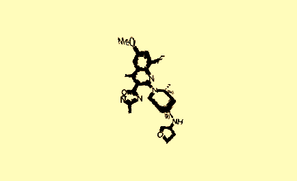 COc1cc(F)c2nc(N3CC[C@@H](NC4CCOC4)C[C@H]3C)c(-c3nc(C)no3)c(C)c2c1